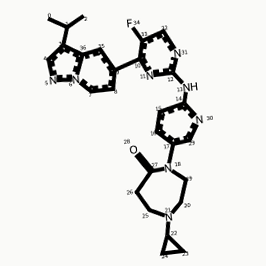 CC(C)c1cnn2ccc(-c3nc(Nc4ccc(N5CCN(C6CC6)CCC5=O)cn4)ncc3F)cc12